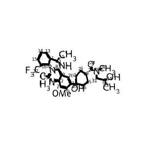 COc1cc2nc(C)nc(N[C@H](C)c3cccc(C(F)(F)F)c3)c2cc1[C@]1(O)CC[C@H](C(=O)N(C)C[C@H](C)O)CC1